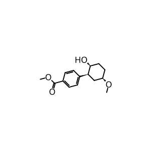 COC(=O)c1ccc([C@@H]2C[C@H](OC)CC[C@@H]2O)cc1